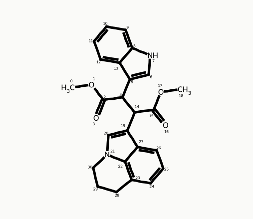 COC(=O)C(c1c[nH]c2ccccc12)C(C(=O)OC)c1cn2c3c(cccc13)CCC2